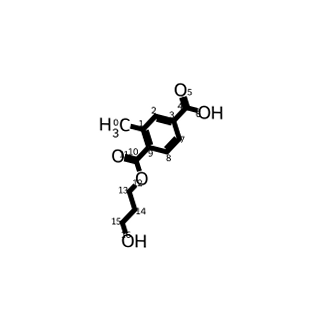 Cc1cc(C(=O)O)ccc1C(=O)OCCCO